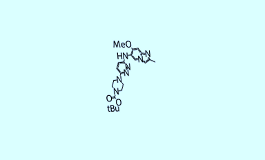 COc1cc2nc(C)cn2cc1Nc1ccc(N2CCN(C(=O)OC(C)(C)C)CC2)nn1